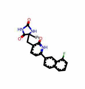 CC(C)C1(Cc2ccc(-c3ccc4cccc(F)c4c3)[nH]c2=O)NC(=O)NC1=O